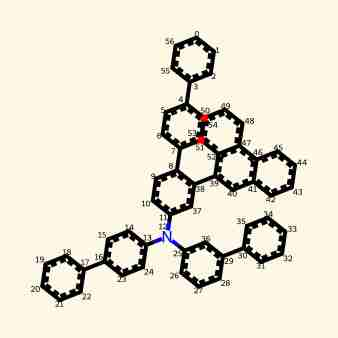 c1ccc(-c2ccc(-c3ccc(N(c4ccc(-c5ccccc5)cc4)c4cccc(-c5ccccc5)c4)cc3-c3cc4ccccc4c4ccccc34)cc2)cc1